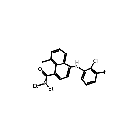 CCN(CC)C(=O)c1ccc(Nc2cccc(F)c2Cl)c2cccc(C)c12